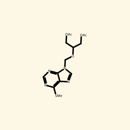 CSc1ncnc2c1ncn2COC(COC(C)=O)COC(C)=O